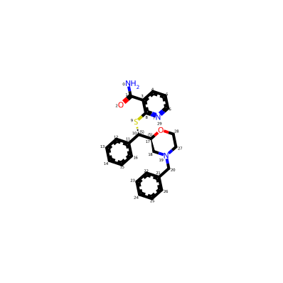 NC(=O)c1cccnc1S[C@@H](c1ccccc1)[C@@H]1CN(Cc2ccccc2)CCO1